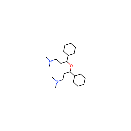 CN(C)CCC(OC(CCN(C)C)C1CCCCC1)C1CCCCC1